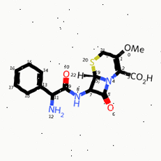 COC1=C(C(=O)O)N2C(=O)C(NC(=O)C(N)C3=CCC=CC3)[C@@H]2SC1